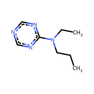 CCCN(CC)c1ncncn1